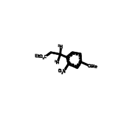 [2H]C([2H])(CC(=O)OCC)c1ccc(OC)cc1[N+](=O)[O-]